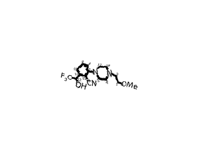 COCCN1CCN(c2cccc(C(O)C(F)(F)F)c2C#N)CC1